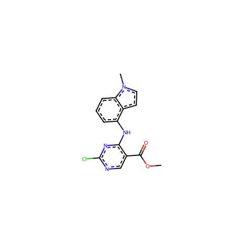 COC(=O)c1cnc(Cl)nc1Nc1cccc2c1ccn2C